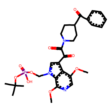 COc1cnc(OC)c2c1c(C(=O)C(=O)N1CCC(C(=O)c3ccccc3)CC1)cn2COP(=O)(O)OC(C)(C)C